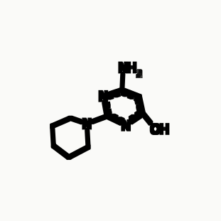 Nc1cc(O)nc(N2CCCCC2)n1